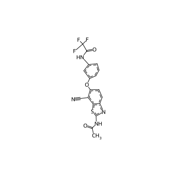 CC(=O)Nc1nc2ccc(Oc3cccc(NC(=O)C(F)(F)F)c3)c(C#N)c2s1